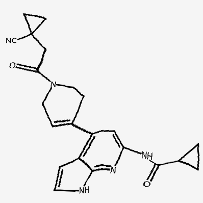 N#CC1(CC(=O)N2CC=C(c3cc(NC(=O)C4CC4)nc4[nH]ccc34)CC2)CC1